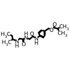 CCC(C)NCC(=O)NCC(=O)Nc1ccc(COC(=O)C(C)C)cc1